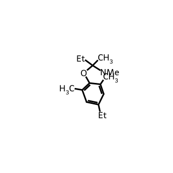 CCc1cc(C)c(OC(C)(CC)NC)c(C)c1